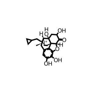 C[N@+]1(CC2CC2)CC[C@]23c4c5cc(O)c(O)c4O[C@H]2C(=O)C(O)C[C@@]3(O)[C@H]1C5